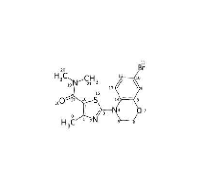 Cc1nc(N2CCOc3cc(Br)ccc32)sc1C(=O)N(C)C